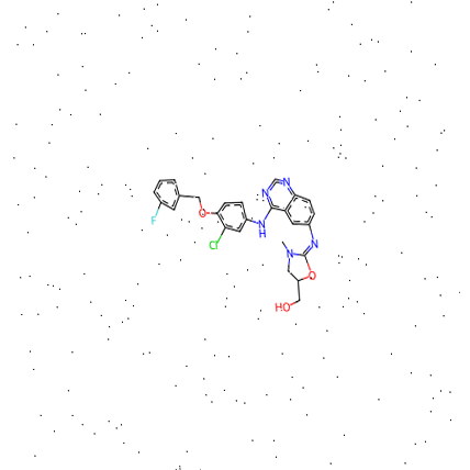 CN1CC(CO)OC1=Nc1ccc2ncnc(Nc3ccc(OCc4cccc(F)c4)c(Cl)c3)c2c1